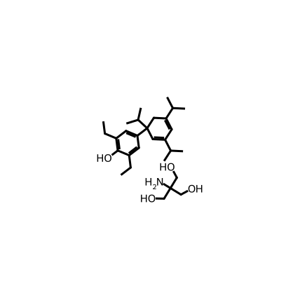 CCc1cc(C2(C(C)C)C=C(C(C)C)C=C(C(C)C)C2)cc(CC)c1O.NC(CO)(CO)CO